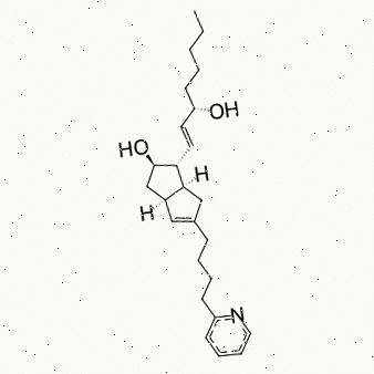 CCCCC[C@H](O)/C=C/[C@@H]1[C@H]2CC(CCCCc3ccccn3)=C[C@H]2C[C@H]1O